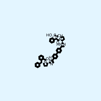 CN(C(=O)O)[C@@H](C(=O)N1CCC[C@H]1c1ncc(-c2ccc(-c3ccc(-c4cnc([C@@H]5CCCN5C(=O)c5ccccc5Cc5ccccc5)[nH]4)cc3)cc2)[nH]1)c1ccccc1